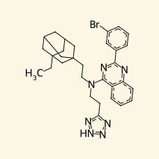 CCC12CC3CC(C1)CC(CCN(CCc1nn[nH]n1)c1nc(-c4cccc(Br)c4)nc4ccccc14)(C3)C2